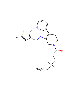 Cc1cc(Cn2c3c(c4cccnc42)CCN(C(=O)CCC(C)(C)CC(=O)O)C3)c(C)s1